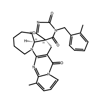 Cc1ccccc1CN1C(=O)N=C(O)[C@@]2(Cc3c(nc4c(C)cccn4c3=O)N3CCCCC[C@H]32)C1=O